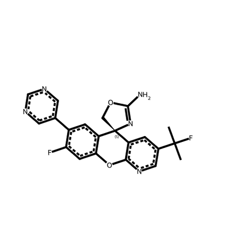 CC(C)(F)c1cnc2c(c1)[C@]1(COC(N)=N1)c1cc(-c3cncnc3)c(F)cc1O2